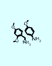 COc1ccc(CN)c(OC)c1.COc1ccc(N)cc1